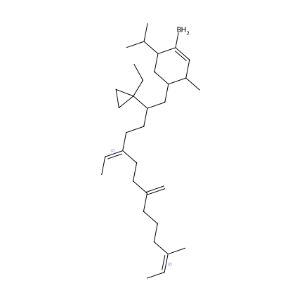 BC1=CC(C)C(CC(CC/C(=C/C)CCC(=C)CCC/C(C)=C\C)C2(CC)CC2)CC1C(C)C